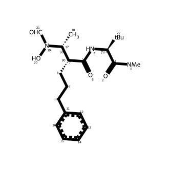 CNC(=O)[C@@H](NC(=O)[C@H](CCCc1ccccc1)[C@@H](C)N(O)C=O)C(C)(C)C